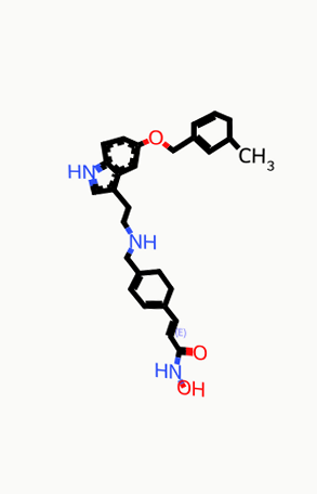 CC1C=C(COc2ccc3[nH]cc(CCNCC4=CC=C(/C=C/C(=O)NO)CC4)c3c2)C=CC1